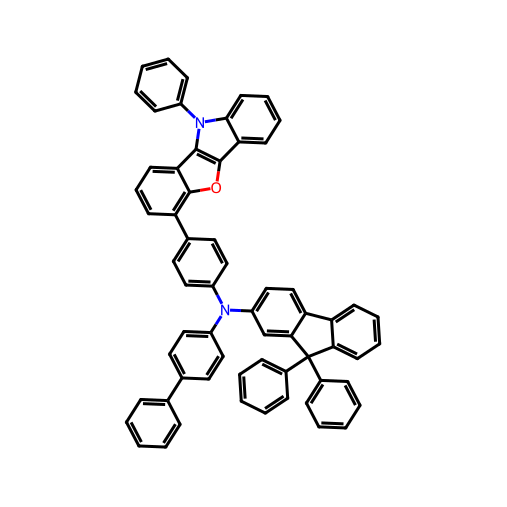 c1ccc(-c2ccc(N(c3ccc(-c4cccc5c4oc4c6ccccc6n(-c6ccccc6)c54)cc3)c3ccc4c(c3)C(c3ccccc3)(c3ccccc3)c3ccccc3-4)cc2)cc1